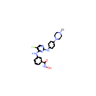 CCN1CCN(c2ccc(Nc3ncc(F)c(Nc4cccc(C(=O)NO)c4)n3)cc2)CC1